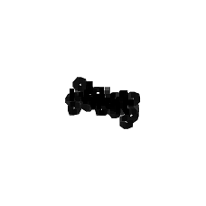 CC(C)(C)n1c(-c2ccc(-c3ccc(N(c4cccc5ccccc45)c4csc5ccccc45)n3C(C)(C)C)cc2)ccc1N(c1cccc2ccccc12)c1csc2ccccc12